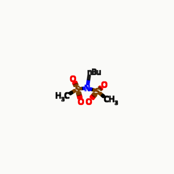 CCCCN(S(C)(=O)=O)S(C)(=O)=O